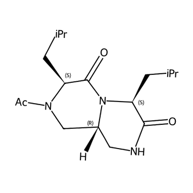 CC(=O)N1C[C@H]2CNC(=O)[C@H](CC(C)C)N2C(=O)[C@@H]1CC(C)C